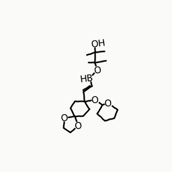 CC(C)(O)C(C)(C)OB/C=C/C1(OC2CCCCO2)CCC2(CC1)OCCO2